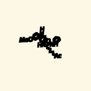 COc1ccc2[nH]c(C)c(CC(=O)N[C@@H](CCCCCC(C)=O)C(=O)Nc3ccccc3)c2c1